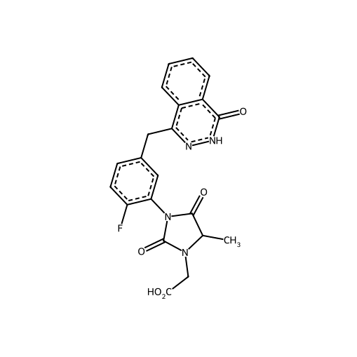 CC1C(=O)N(c2cc(Cc3n[nH]c(=O)c4ccccc34)ccc2F)C(=O)N1CC(=O)O